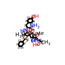 CCC(C)(CC(C)(CC(C)(SC(=S)c1ccccc1)C(=O)NC(Cc1ccc(O)cc1)C(N)=O)C(=O)NC)C(=O)NCC(C)O